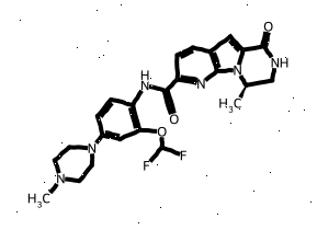 C[C@@H]1CNC(=O)c2cc3ccc(C(=O)Nc4ccc(N5CCN(C)CC5)cc4OC(F)F)nc3n21